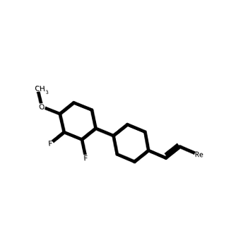 COC1CCC(C2CCC(/C=[CH]/[Re])CC2)C(F)C1F